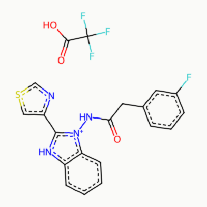 O=C(Cc1cccc(F)c1)N[n+]1c(-c2cscn2)[nH]c2ccccc21.O=C(O)C(F)(F)F